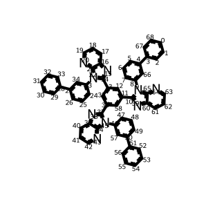 c1ccc(-c2cccc(-n3c(-c4cc(-c5nc6cccnc6n5-c5cccc(-c6ccccc6)c5)cc(-c5nc6cccnc6n5-c5cccc(-c6ccccc6)c5)c4)nc4cccnc43)c2)cc1